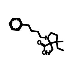 CCC1(C)CCN(CCCCc2ccccc2)C1(CC)C(=O)O